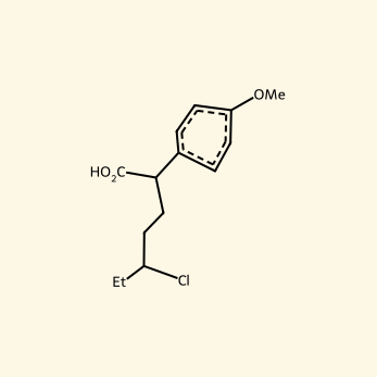 CCC(Cl)CCC(C(=O)O)c1ccc(OC)cc1